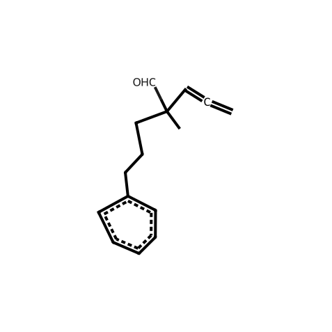 C=C=CC(C)(C=O)CCCc1ccccc1